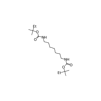 CCC(C)(C)OC(=O)NCCCCCCCNC(=O)OC(C)(C)CC